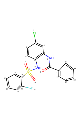 O=C(Nc1cc(Cl)ccc1NS(=O)(=O)c1ccccc1F)c1ccccc1